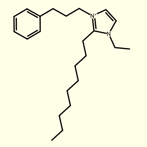 CCCCCCCCCc1n(CC)cc[n+]1CCCc1ccccc1